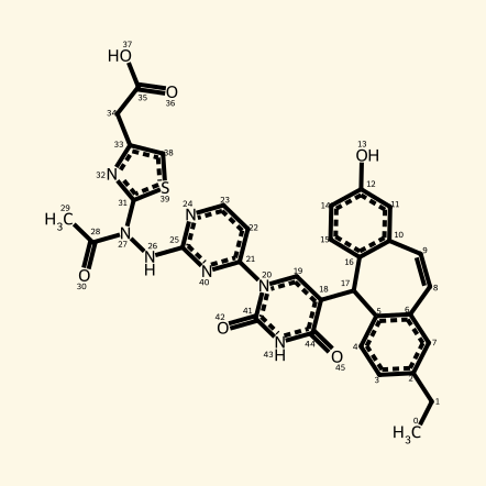 CCc1ccc2c(c1)C=Cc1cc(O)ccc1C2c1cn(-c2ccnc(NN(C(C)=O)c3nc(CC(=O)O)cs3)n2)c(=O)[nH]c1=O